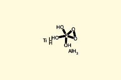 OP1(O)(O)OO1.[AlH3].[LiH].[Ti]